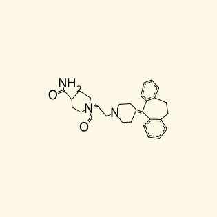 NC(=O)C1CC[N+](C=O)(CCN2CCC(=C3c4ccccc4CCc4ccccc43)CC2)CC1